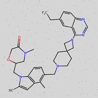 Cc1c(CN2CCC3(CC2)CN(c2ncnc4ccc(CC(F)(F)F)cc24)C3)ccc2c1cc(C#N)n2CC1CN(C)C(=O)CO1